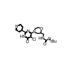 CC(C)(C)OC(=O)NCC1CN(c2nc(-c3ccncc3)[nH]c(=O)c2Cl)CCO1